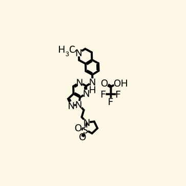 CN1CCc2ccc(Nc3ncc4cnn(CCN5CCCS5(=O)=O)c4n3)cc2C1.O=C(O)C(F)(F)F